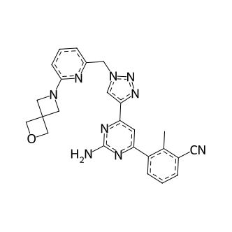 Cc1c(C#N)cccc1-c1cc(-c2cn(Cc3cccc(N4CC5(COC5)C4)n3)nn2)nc(N)n1